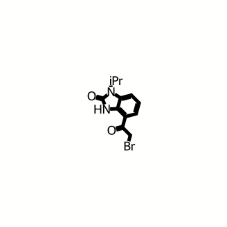 CC(C)n1c(=O)[nH]c2c(C(=O)CBr)cccc21